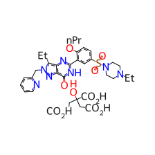 CCCOc1ccc(S(=O)(=O)N2CCN(CC)CC2)cc1-c1nc2c(CC)n(Cc3ccccn3)nc2c(=O)[nH]1.O=C(O)CC(O)(CC(=O)O)C(=O)O